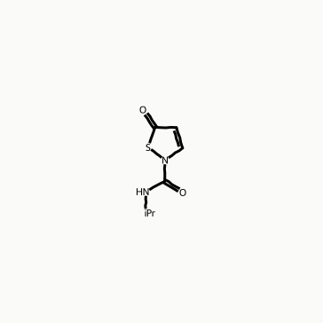 CC(C)NC(=O)n1ccc(=O)s1